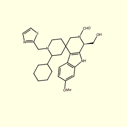 COc1ccc2c3c([nH]c2c1)[C@H](CO)N(C=O)CC31CCN(Cc2nccs2)C(C2CCCCC2)C1